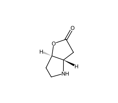 O=C1C[C@@H]2NCC[C@H]2O1